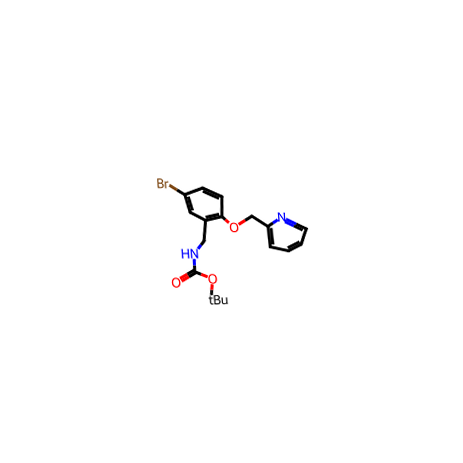 CC(C)(C)OC(=O)NCc1cc(Br)ccc1OCc1ccccn1